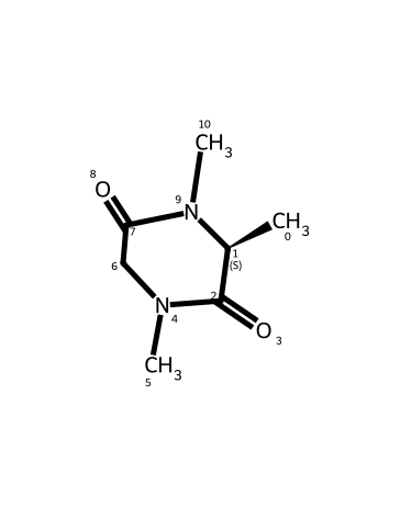 C[C@H]1C(=O)N(C)CC(=O)N1C